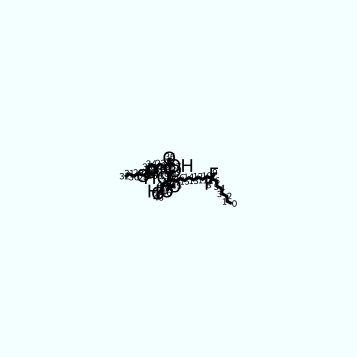 CCCCCCCC(F)(F)CCCCCC/C=C/[C@H](C(=O)N[C@@H](Cc1ccc(OCCCC)cc1)C(=O)O)[C@@](O)(CCOC)C(=O)O